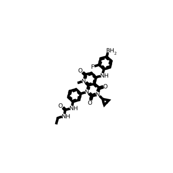 Bc1ccc(Nc2cc(=O)n(C)c3c2c(=O)n(C2CC2)c(=O)n3-c2cccc(NC(=O)NCC)c2)c(F)c1